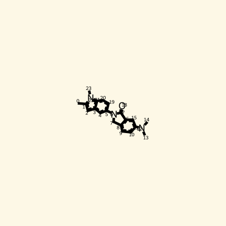 Cc1cc2cc(N3Cc4ccc(N(C)C)cc4C3=O)ccc2n1C